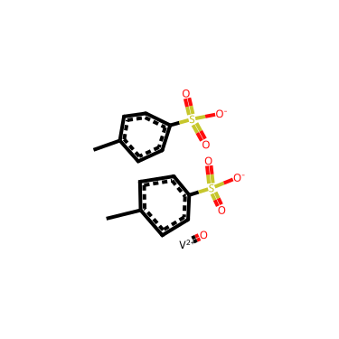 Cc1ccc(S(=O)(=O)[O-])cc1.Cc1ccc(S(=O)(=O)[O-])cc1.[O]=[V+2]